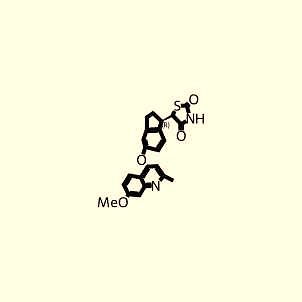 COc1ccc2c(Oc3ccc4c(c3)CC[C@H]4C3SC(=O)NC3=O)cc(C)nc2c1